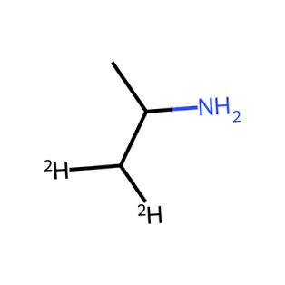 [2H]C([2H])C(C)N